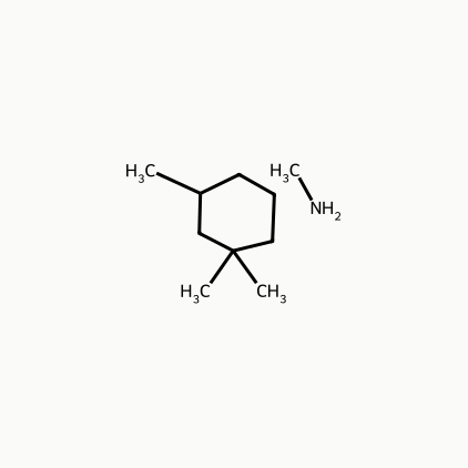 CC1CCCC(C)(C)C1.CN